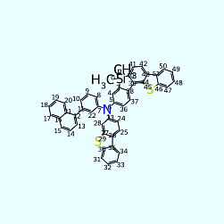 C[Si]1(C)c2cc(N(c3cccc(-c4cccc5ccccc45)c3)c3ccc4c(c3)sc3ccccc34)ccc2-c2c1ccc1c2sc2ccccc21